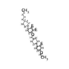 CCCCCC1CCC(c2ccc(OCC3CCC(c4ccc(OCC)cc4F)CC3)c(F)c2F)CC1